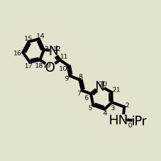 CC(C)NCc1ccc(/C=C/C=C/c2nc3ccccc3o2)nc1